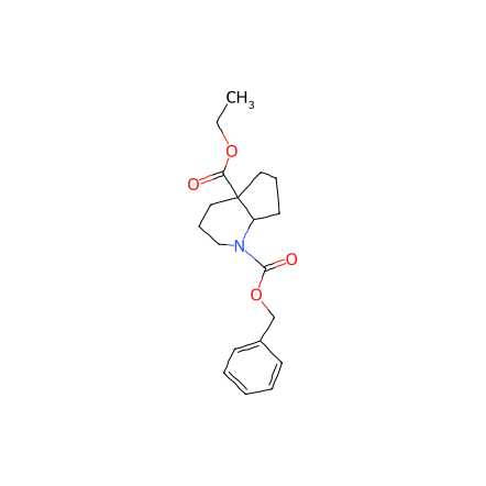 CCOC(=O)C12CCCC1N(C(=O)OCc1ccccc1)CCC2